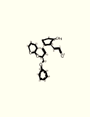 O=CC[C@@H]1[C@H](O)CC[C@H]1C=C[C@@H](COc1ccccc1)OC1CCCCO1